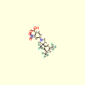 O=C(O)c1ccc(N2CCC(c3cc(C(F)(F)F)cc(C(F)(F)F)c3)(C(F)(F)F)C2)cc1[N+](=O)[O-]